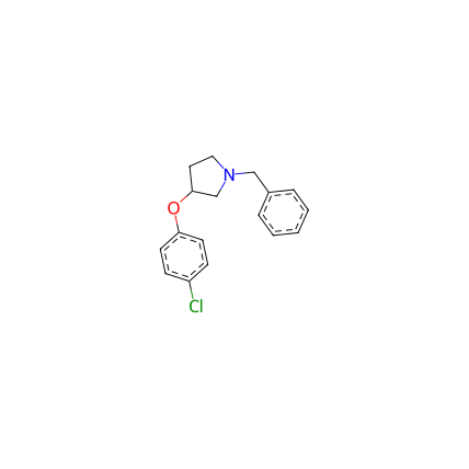 Clc1ccc(OC2CCN(Cc3ccccc3)C2)cc1